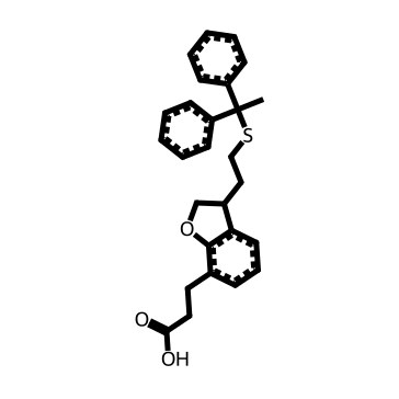 CC(SCCC1COc2c(CCC(=O)O)cccc21)(c1ccccc1)c1ccccc1